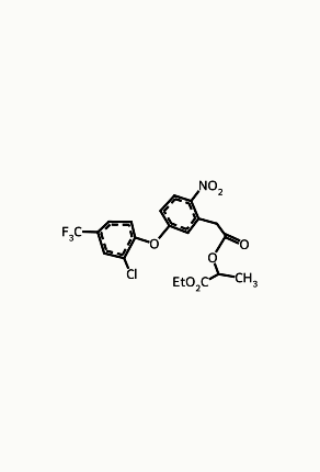 CCOC(=O)C(C)OC(=O)Cc1cc(Oc2ccc(C(F)(F)F)cc2Cl)ccc1[N+](=O)[O-]